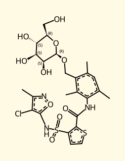 Cc1cc(C)c(NC(=O)c2sccc2S(=O)(=O)Nc2onc(C)c2Cl)c(C)c1CO[C@@H]1O[C@H](CO)[C@@H](O)[C@H](O)[C@@H]1O